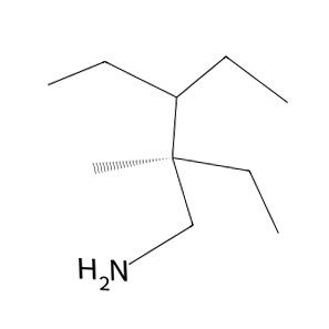 CCC(CC)[C@@](C)(CC)CN